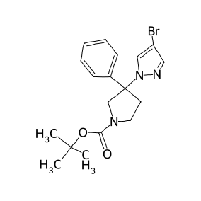 CC(C)(C)OC(=O)N1CCC(c2ccccc2)(n2cc(Br)cn2)C1